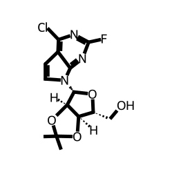 CC1(C)O[C@@H]2[C@H](O1)[C@@H](CO)O[C@H]2n1ccc2c(Cl)nc(F)nc21